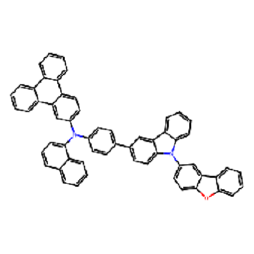 c1ccc2c(N(c3ccc(-c4ccc5c(c4)c4ccccc4n5-c4ccc5oc6ccccc6c5c4)cc3)c3ccc4c5ccccc5c5ccccc5c4c3)cccc2c1